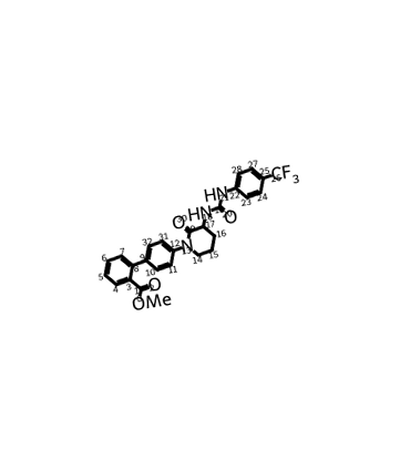 COC(=O)c1ccccc1-c1ccc(N2CCCC(NC(=O)Nc3ccc(C(F)(F)F)cc3)C2=O)cc1